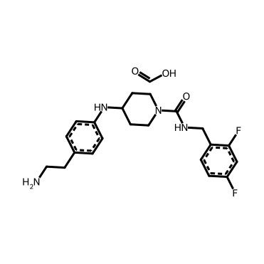 NCCc1ccc(NC2CCN(C(=O)NCc3ccc(F)cc3F)CC2)cc1.O=CO